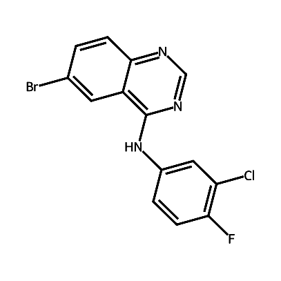 Fc1ccc(Nc2ncnc3ccc(Br)cc23)cc1Cl